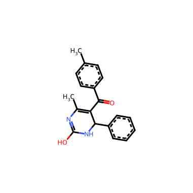 CC1=C(C(=O)c2ccc(C)cc2)C(c2ccccc2)NC(O)=N1